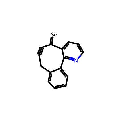 [Se]=C1C#CCc2ccccc2-c2ncccc21